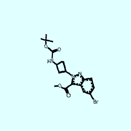 COC(=O)c1c2cc(Br)ccc2nn1C1CC(NC(=O)OC(C)(C)C)C1